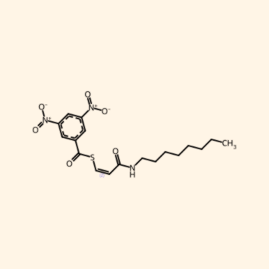 CCCCCCCCNC(=O)/C=C\SC(=O)c1cc([N+](=O)[O-])cc([N+](=O)[O-])c1